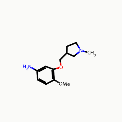 COc1ccc(N)cc1OCC1CCN(C)C1